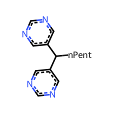 CCCCCC(c1cncnc1)c1cncnc1